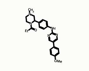 CCC(=O)N1CCN(C)CC1c1ccc(Nc2ncc(-c3ccc(OC)cc3)cn2)cc1